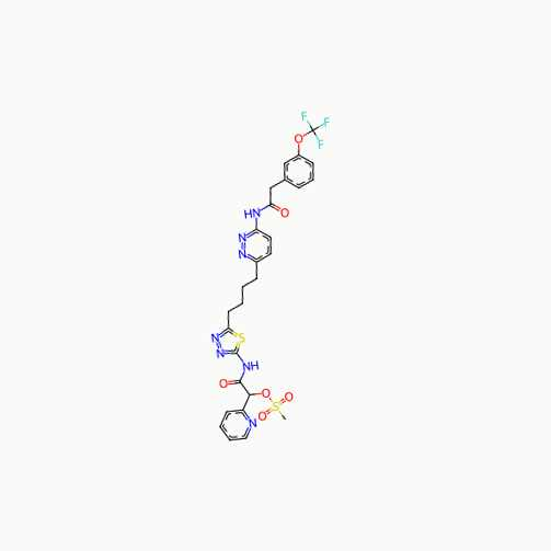 CS(=O)(=O)OC(C(=O)Nc1nnc(CCCCc2ccc(NC(=O)Cc3cccc(OC(F)(F)F)c3)nn2)s1)c1ccccn1